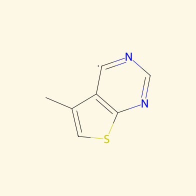 Cc1csc2ncn[c]c12